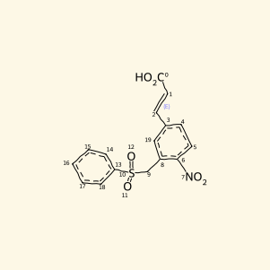 O=C(O)/C=C/c1ccc([N+](=O)[O-])c(CS(=O)(=O)c2ccccc2)c1